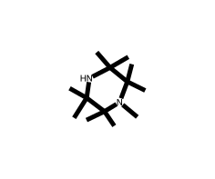 CN1C(C)(C)C(C)(C)NC(C)(C)C1(C)C